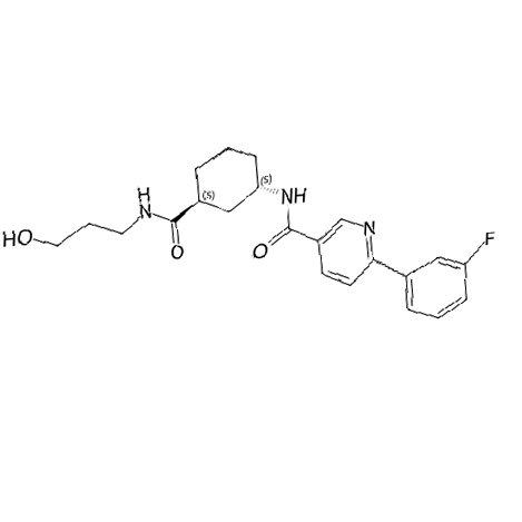 O=C(N[C@H]1CCC[C@H](C(=O)NCCCO)C1)c1ccc(-c2cccc(F)c2)nc1